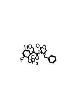 CC1([C@@H](CO)C(=O)N2C(=O)OC[C@H]2Cc2ccccc2)C=CC=C(F)C1Cl